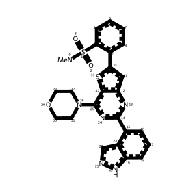 CNS(=O)(=O)c1ccccc1-c1cc2nc(-c3cccc4[nH]ncc34)nc(N3CCOCC3)c2s1